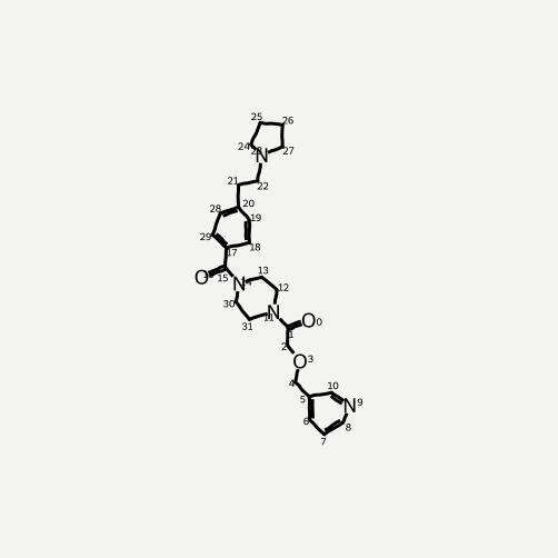 O=C(COCc1cccnc1)N1CCN(C(=O)c2ccc(CCN3CCCC3)cc2)CC1